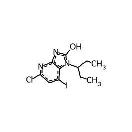 CCC(CC)n1c(O)nc2nc(Cl)cc(I)c21